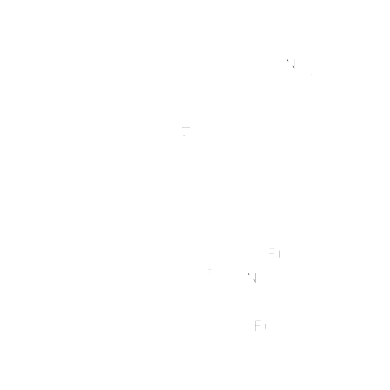 CCN(CC)CC.NCc1ccccc1Pc1ccccc1